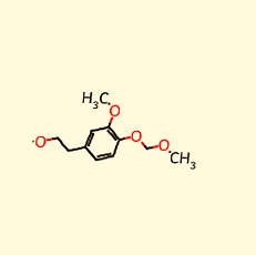 COCOc1ccc(CC[O])cc1OC